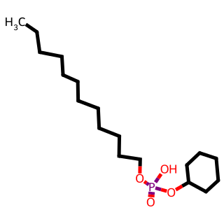 CCCCCCCCCCCCOP(=O)(O)OC1CCCCC1